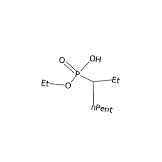 CCCCCC(CC)P(=O)(O)OCC